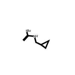 C=C(NCC1CC1)C(C)(C)C